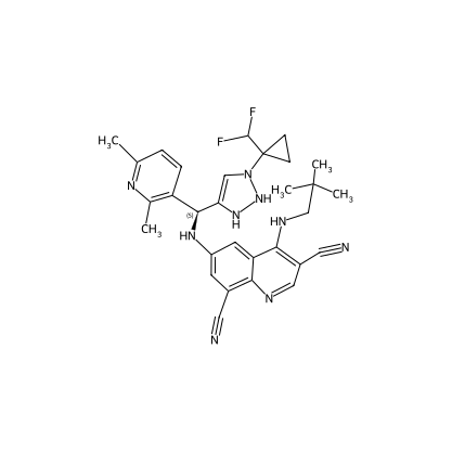 Cc1ccc([C@H](Nc2cc(C#N)c3ncc(C#N)c(NCC(C)(C)C)c3c2)C2=CN(C3(C(F)F)CC3)NN2)c(C)n1